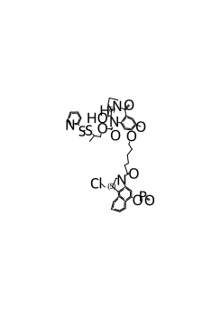 COc1cc2c(cc1OCCCCCC(=O)N1C[C@@H](CCl)c3c1cc(OP=O)c1ccccc31)N(C(=O)OCC(C)SSc1ccccn1)C(O)[C@@H]1CCCN1C2=O